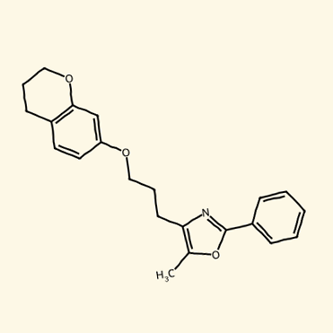 Cc1oc(-c2ccccc2)nc1CCCOc1ccc2c(c1)OCCC2